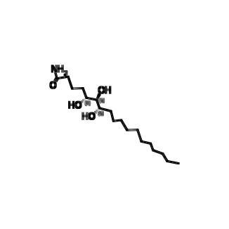 CCCCCCCCCCC[C@H](O)[C@H](O)[C@H](O)CCCC(N)=O